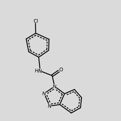 O=C(Nc1ccc(Cl)cc1)n1nnc2ccccc21